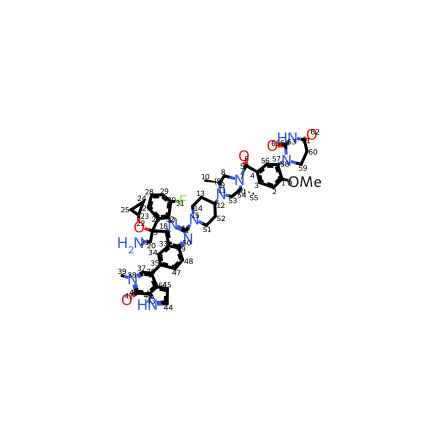 COc1ccc(C(=O)N2C[C@H](C)N(C3CCN(c4nc(C(CN)(OC5CC5)c5cccc(F)c5)c5cc(-c6cn(C)c(=O)c7[nH]ccc67)ccc5n4)CC3)C[C@H]2C)cc1N1CCC(=O)NC1=O